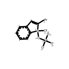 CC(C)C1=Cc2ccccc2S1(O[I+3]([O-])([O-])[O-])C(F)(F)F